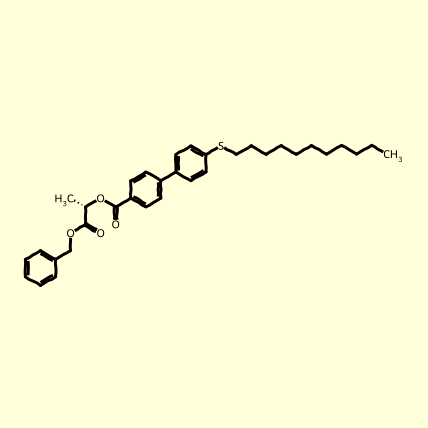 CCCCCCCCCCCSc1ccc(-c2ccc(C(=O)O[C@@H](C)C(=O)OCc3ccccc3)cc2)cc1